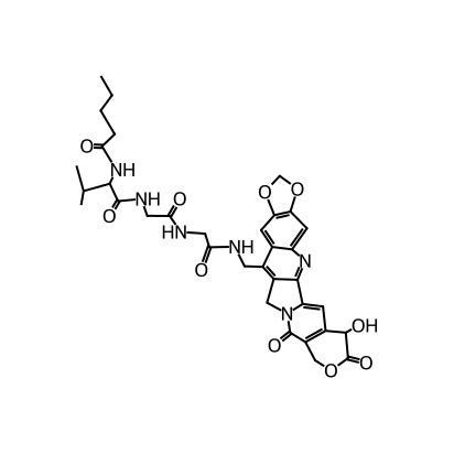 CCCCC(=O)NC(C(=O)NCC(=O)NCC(=O)NCc1c2c(nc3cc4c(cc13)OCO4)-c1cc3c(c(=O)n1C2)COC(=O)C3O)C(C)C